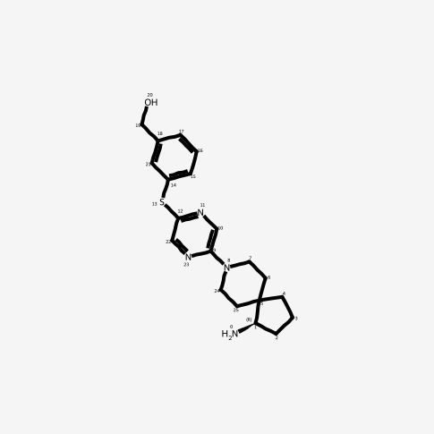 N[C@@H]1CCCC12CCN(c1cnc(Sc3cccc(CO)c3)cn1)CC2